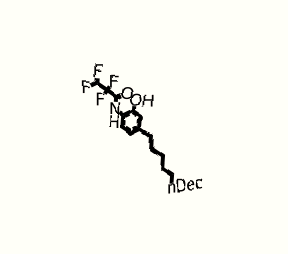 CCCCCCCCCCCCCCCc1ccc(NC(=O)C(F)(F)C(F)F)c(O)c1